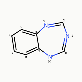 C1=NC=Nc2ccccc2[N]1